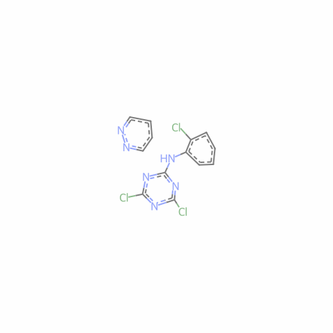 Clc1nc(Cl)nc(Nc2ccccc2Cl)n1.c1ccnnc1